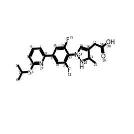 CC(C)Sc1cccc(-c2cc(F)c(N3C=C(CC(=O)O)C(C)N3)c(F)c2)n1